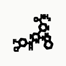 NC(=O)c1cncc(-c2cnc(Nc3ccc(F)c(Cl)c3)nc2-n2ncc3ccccc32)c1